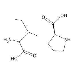 CCC(C)C(N)C(=O)O.O=C(O)[C@@H]1CCCN1